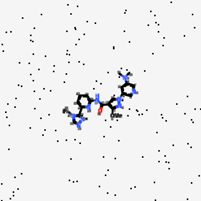 COc1nn(-c2cncc(N(C)C)c2)cc1C(=O)Nc1cccc(-c2nncn2C(C)C)n1